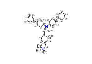 CC[N+](CC)(CC)Cc1ccc2cc(N(c3ccc(-c4ccccc4)cc3)c3ccc(-c4ccccc4)cc3)ccc2c1